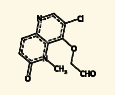 Cn1c(=O)ccc2ncc(Cl)c(OCC=O)c21